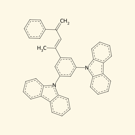 C=C(/C=C(\C)c1cc(-n2c3ccccc3c3ccccc32)cc(-n2c3ccccc3c3ccccc32)c1)c1ccccc1